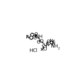 CC(=C(CCOC(=O)CCNS(=O)(=O)c1cccc2c(N(C)C)cccc12)SC(=O)C(C)(C)C)N(C=O)Cc1cnc(C)nc1N.Cl